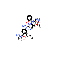 CCNC(=O)c1ccc(Nc2ncc(C)c(N(C3=CC=CCC3=O)c3cnco3)n2)cc1C